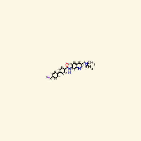 CN(C)Cc1cnc2cc(NC(=O)c3ccc(-c4ccc(CI)cc4)cc3)ccc2c1